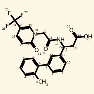 Cc1ccccc1-c1cccc([C@H](CC(=O)O)NC(=O)Cn2cc(C(F)(F)F)ccc2=O)c1